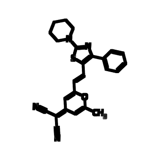 CC1=CC(=C(C#N)C#N)C=C(/C=C/c2sc(N3CCCCC3)nc2-c2ccccc2)O1